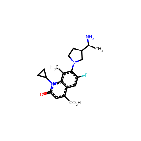 Cc1c(N2CC[C@@H]([C@H](C)N)C2)c(F)cc2c(C(=O)O)cc(=O)n(C3CC3)c12